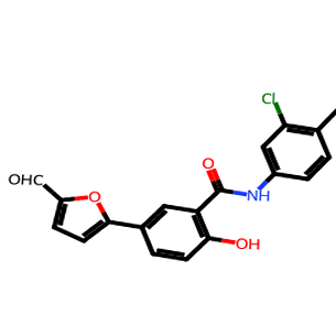 Cc1ccc(NC(=O)c2cc(-c3ccc(C=O)o3)ccc2O)cc1Cl